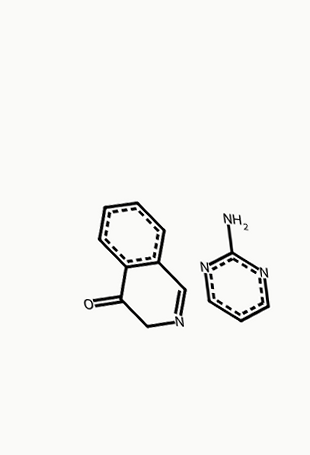 Nc1ncccn1.O=C1CN=Cc2ccccc21